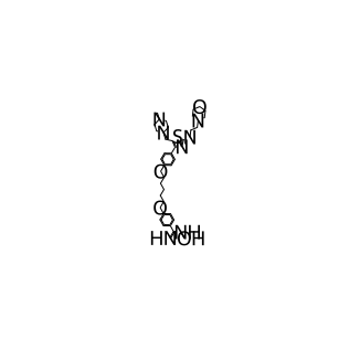 CN1CCN(Cc2sc(N(C)CCN3CCOCC3)nc2-c2ccc(OCCCCCOc3ccc(C(=N)NO)cc3)cc2)CC1